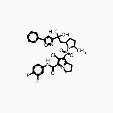 CC1CCC(CC(C)(O)c2cc(-c3ccccc3)on2)N1S(=O)(=O)c1c(Cl)c(C(=O)Nc2ccc(F)c(F)c2)n2c1CCC2